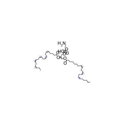 CC/C=C\C/C=C\C/C=C\C/C=C\C/C=C\CCCC(=O)O[C@H](COC(=O)CCCCCC/C=C\C/C=C\C/C=C\CCCCC)COP(=O)(O)OCCN